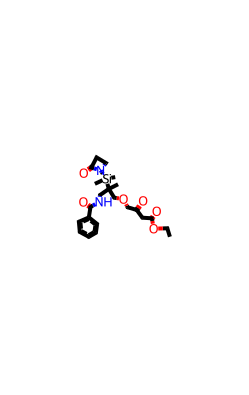 CCOC(=O)CC(=O)COCC(C)(CNC(=O)c1ccccc1)[Si](C)(C)N1CCC1=O